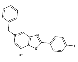 Fc1ccc(-c2nc3c[n+](Cc4ccccc4)ccc3s2)cc1.[Br-]